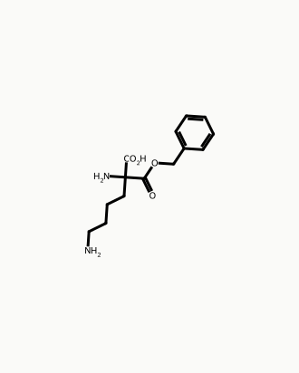 NCCCCC(N)(C(=O)O)C(=O)OCc1ccccc1